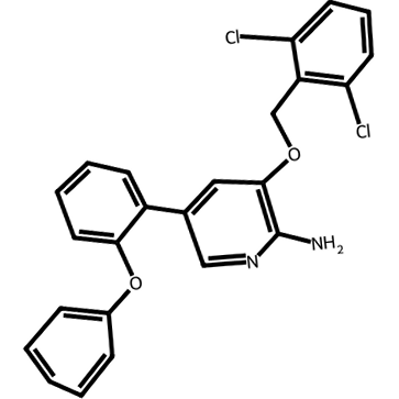 Nc1ncc(-c2ccccc2Oc2ccccc2)cc1OCc1c(Cl)cccc1Cl